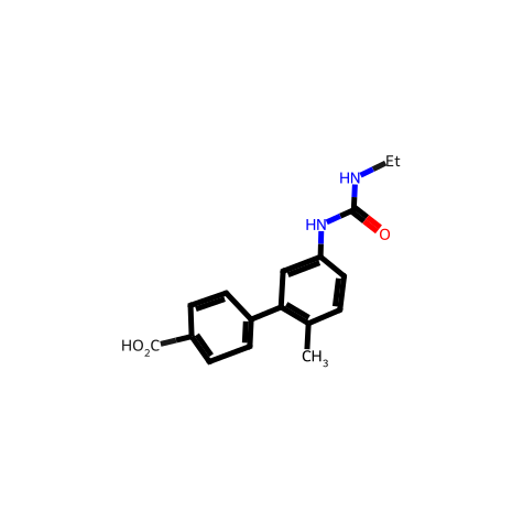 CCNC(=O)Nc1ccc(C)c(-c2ccc(C(=O)O)cc2)c1